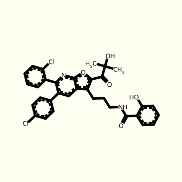 CC(C)(O)C(=O)c1oc2nc(-c3ccccc3Cl)c(-c3ccc(Cl)cc3)cc2c1CCCNC(=O)c1ccccc1O